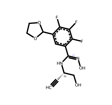 C#C[C@@H](CO)N/C(=N\O)c1cc(C2OCCO2)c(F)c(F)c1F